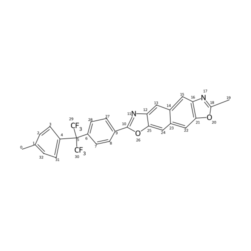 Cc1ccc(C(c2ccc(-c3nc4cc5cc6nc(C)oc6cc5cc4o3)cc2)(C(F)(F)F)C(F)(F)F)cc1